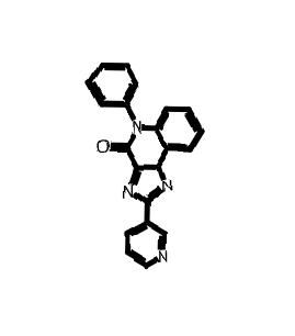 O=C1C2=NC(c3cccnc3)=NC2c2ccccc2N1c1ccccc1